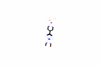 CC(C)(C)OC(=O)N1CCC(c2cnc(N3CCOCC3)nc2)CC1